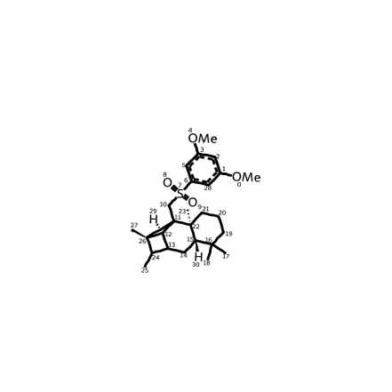 COc1cc(OC)cc(S(=O)(=O)CC23[C@H]4C(C[C@H]5C(C)(C)CCC[C@@]52C)C(C)[C@@]43C)c1